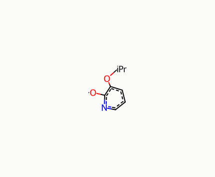 CC(C)Oc1cccnc1[O]